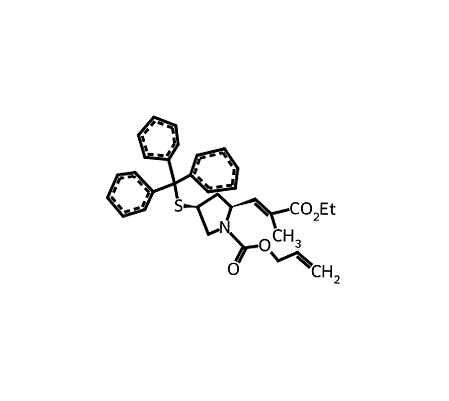 C=CCOC(=O)N1C[C@@H](SC(c2ccccc2)(c2ccccc2)c2ccccc2)C[C@H]1C=C(C)C(=O)OCC